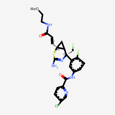 COCCNC(=O)/C=C/[C@]12CC1[C@@](CF)(c1cc(NC(=O)c3ccc(Cl)cn3)ccc1F)N=C(N)S2